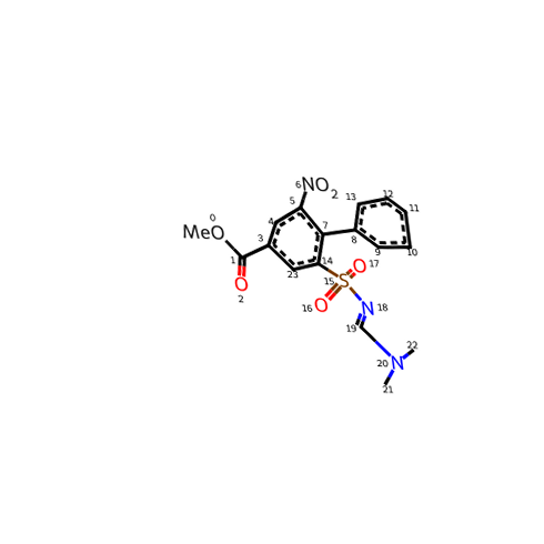 COC(=O)c1cc([N+](=O)[O-])c(-c2ccccc2)c(S(=O)(=O)/N=C/N(C)C)c1